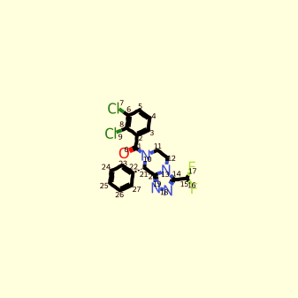 O=C(c1cccc(Cl)c1Cl)N1CCn2c(C(F)F)nnc2[C@@H]1c1ccccc1